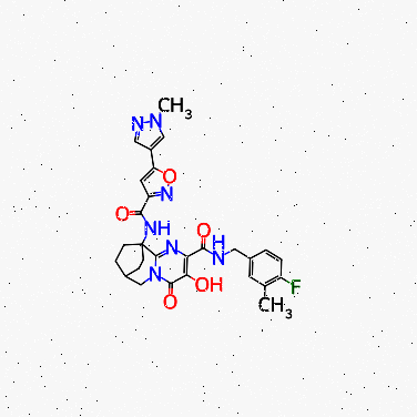 Cc1cc(CNC(=O)c2nc3n(c(=O)c2O)CC2CCC3(NC(=O)c3cc(-c4cnn(C)c4)on3)CC2)ccc1F